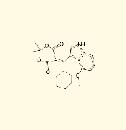 COc1cccc2[nH]cc(C(=C3C(=O)OC(C)(C)OC3=O)C3CCCCC3)c12